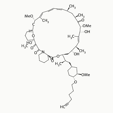 C#CCCCCO[C@@H]1CC[C@@H](C[C@@H](C)[C@@H]2C[C@@H](O)[C@H](C)/C=C(\C)[C@@H](O)[C@@H](OC)C(=O)[C@H](C)C[C@H](C)/C=C/C=C/C=C(\C)[C@@H](OC)C[C@@H]3CC[C@@H](C)[C@@](O)(O3)C(=O)C(=O)N3CCCC[C@H]3C(=O)O2)C[C@H]1OC